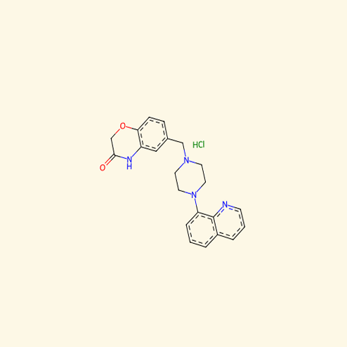 Cl.O=C1COc2ccc(CN3CCN(c4cccc5cccnc45)CC3)cc2N1